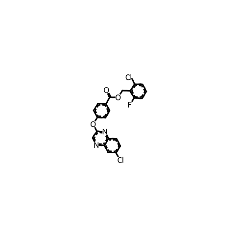 O=C(OCc1c(F)cccc1Cl)c1ccc(Oc2cnc3cc(Cl)ccc3n2)cc1